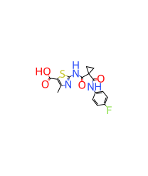 Cc1nc(NC(=O)C2(C(=O)Nc3ccc(F)cc3)CC2)sc1C(=O)O